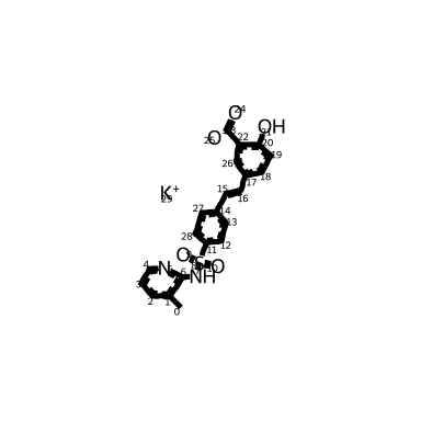 Cc1cccnc1NS(=O)(=O)c1ccc(C=Cc2ccc(O)c(C(=O)[O-])c2)cc1.[K+]